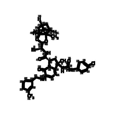 CC[C@H](NC(=O)[C@@H]1C[C@@](C)(NC(=O)Nc2ccc(Cl)cc2)c2ncc(NCc3cccc(C(F)(F)F)c3)c(=O)n21)B1O[C@@H]2C[C@@H]3C[C@@H](C3(C)C)[C@]2(C)O1